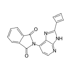 O=C1c2ccccc2C(=O)N1c1ccnc2[nH]c(C3=CC=C3)nc12